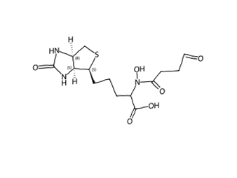 O=CCCC(=O)N(O)C(CCC[C@@H]1SC[C@@H]2NC(=O)N[C@@H]21)C(=O)O